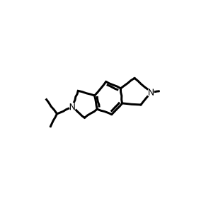 CC(C)N1Cc2cc3c(cc2C1)CN(C)C3